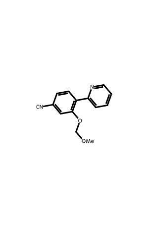 [C-]#[N+]c1ccc(-c2ccccn2)c(OCOC)c1